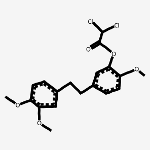 COc1ccc(CCc2ccc(OC)c(OC(=O)C(Cl)Cl)c2)cc1OC